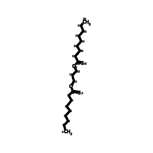 CCCCCCCCC(=S)OCCCOC(=S)CCCCCCCC